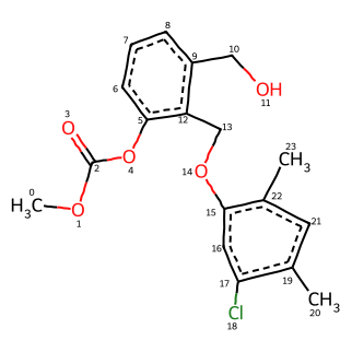 COC(=O)Oc1cccc(CO)c1COc1cc(Cl)c(C)cc1C